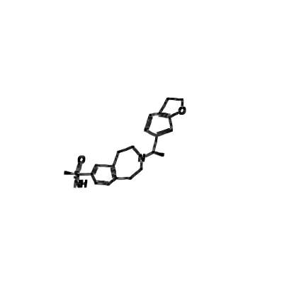 C[C@H](c1ccc2c(c1)OCC2)N1CCc2ccc([S@](C)(=N)=O)cc2CC1